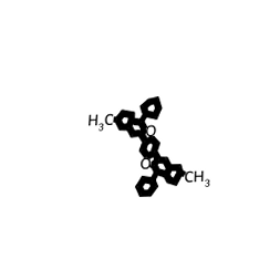 Cc1ccc2c(-c3ccccc3)c3oc4cc5c(cc4c3cc2c1)oc1c(-c2ccccc2)c2ccc(C)cc2cc15